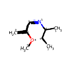 C=C(/C=N\C(C)CC)OC